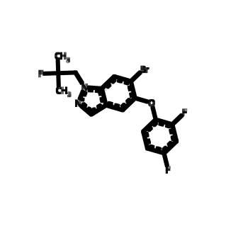 CC(C)(F)Cn1ncc2cc(Oc3ccc(F)cc3F)c(Br)cc21